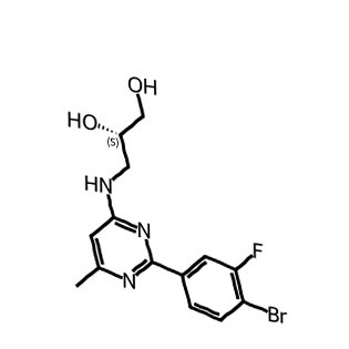 Cc1cc(NC[C@H](O)CO)nc(-c2ccc(Br)c(F)c2)n1